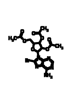 CC(=O)OCC1OC(n2c(Br)nc3c(N)ncnc32)C(OC(C)=O)C1OC(C)=O